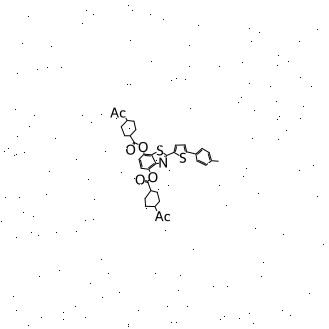 CC(=O)C1CCC(C(=O)Oc2ccc(OC(=O)C3CCC(C(C)=O)CC3)c3sc(-c4ccc(-c5ccc(C)cc5)s4)nc23)CC1